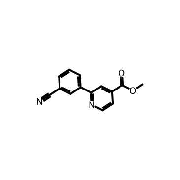 COC(=O)c1ccnc(-c2cccc(C#N)c2)c1